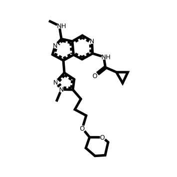 CNc1ncc(-c2cc(CCCOC3CCCCO3)n(C)n2)c2cc(NC(=O)C3CC3)ncc12